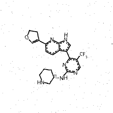 FC(F)(F)c1cnc(N[C@H]2CCCNC2)nc1-c1c[nH]c2nc(C3=COCC3)ccc12